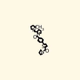 C[C@H]1CCCN1CC1CCCN1C(=O)c1ccc(-c2ccc(C(=O)N3CCCC3)s2)cc1